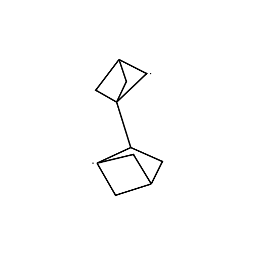 [CH]1C2CC1(C1CC3C[C]1C3)C2